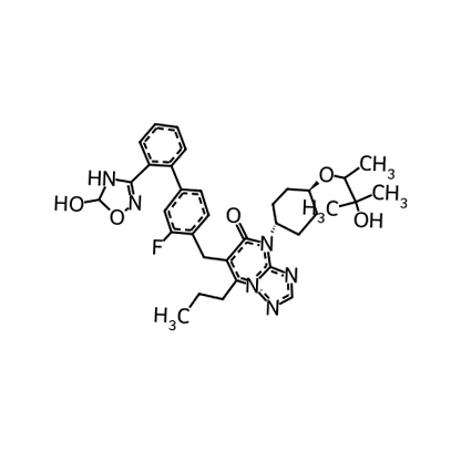 CCCc1c(Cc2ccc(-c3ccccc3C3=NOC(O)N3)cc2F)c(=O)n([C@H]2CC[C@H](OC(C)C(C)(C)O)CC2)c2ncnn12